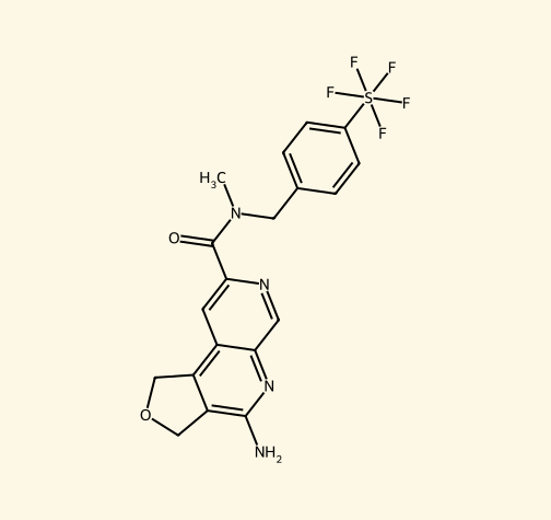 CN(Cc1ccc(S(F)(F)(F)(F)F)cc1)C(=O)c1cc2c3c(c(N)nc2cn1)COC3